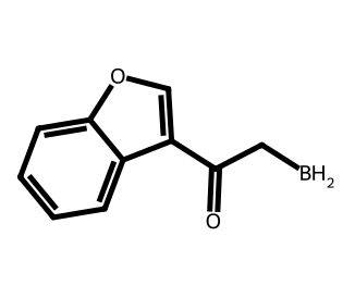 BCC(=O)c1coc2ccccc12